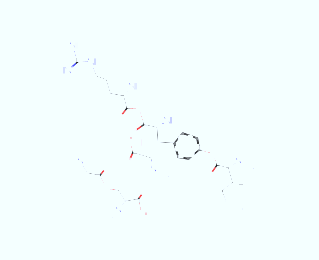 CC[C@H](C)[C@H](N)C(=O)Oc1ccc(C[C@H](N)C(=O)OC(=O)[C@@H](N)CCCNC(=N)N)cc1.NCC(=O)O.NCC(=O)OC[C@H](N)C(=O)O